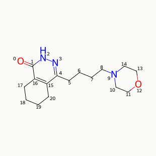 O=c1[nH]nc(CCCCN2CCOCC2)c2c1CCCC2